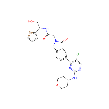 O=C(CN1Cc2ccc(-c3nc(NC4CCOCC4)ncc3Cl)cc2C1=O)NC(CO)c1cccs1